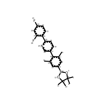 Cc1cc(B2OC(C)(C)C(C)(C)O2)cc(C)c1-c1ccc(-c2ccc(F)cc2F)nc1